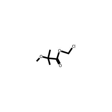 COC(C)(C)C(=O)OCCl